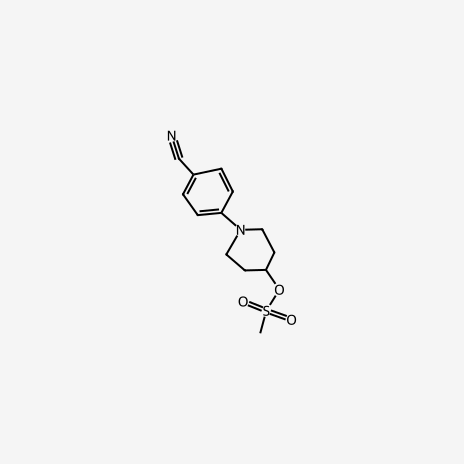 CS(=O)(=O)OC1CCN(c2ccc(C#N)cc2)CC1